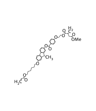 C=CC(=O)OCCCCCCOc1ccc2c(c1)C(C)c1cc(OC(=O)c3ccc(OCCOC(=O)C(=C)CC(=O)OC)cc3)ccc1-2